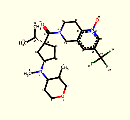 CC1COCCC1N(C)[C@@H]1CC[C@@](C(=O)N2CCc3c(cc(C(F)(F)F)c[n+]3[O-])C2)(C(C)C)C1